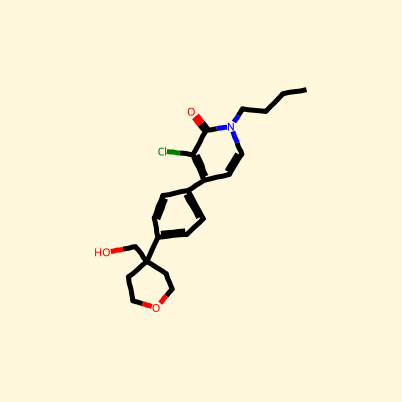 CCCCn1ccc(-c2ccc(C3(CO)CCOCC3)cc2)c(Cl)c1=O